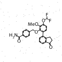 COc1c(OC(F)F)ccc(-c2cccc3c2CCC3=O)c1OCc1ccc(C(N)=O)cc1